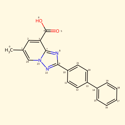 Cc1cc(C(=O)O)c2nc(-c3ccc(-c4ccccc4)cc3)nn2c1